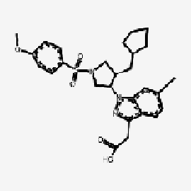 COc1ccc(S(=O)(=O)N2C[C@@H](CC3CCCC3)[C@@H](n3nc(CC(=O)O)c4ccc(C)cc43)C2)cc1